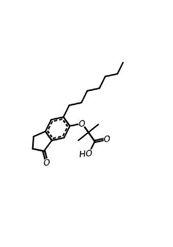 CCCCCCCc1cc2c(cc1OC(C)(C)C(=O)O)C(=O)CC2